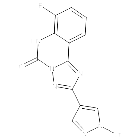 CCn1cc(-c2nc3c4cccc(F)c4[nH]c(=O)n3n2)cn1